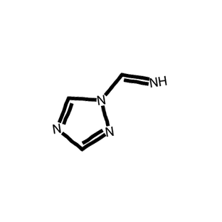 N=Cn1cncn1